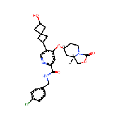 O=C(NCc1ccc(Cl)cc1)c1cc(O[C@H]2CCN3C(=O)OC[C@@H]3C2)c(C2CC3(CC(O)C3)C2)cn1